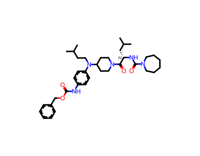 CC(C)CCN(c1ccc(NC(=O)OCc2ccccc2)cc1)C1CCN(C(=O)[C@H](CC(C)C)NC(=O)N2CCCCCC2)CC1